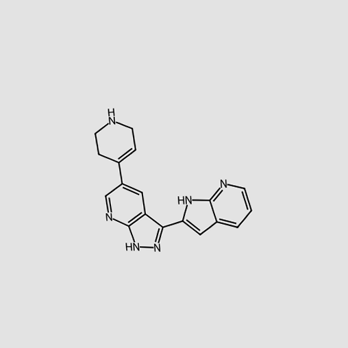 C1=C(c2cnc3[nH]nc(-c4cc5cccnc5[nH]4)c3c2)CCNC1